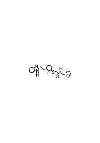 Cc1c(CSc2nc3ccccc3[nH]2)cccc1SCC(=O)NCC1CCCO1